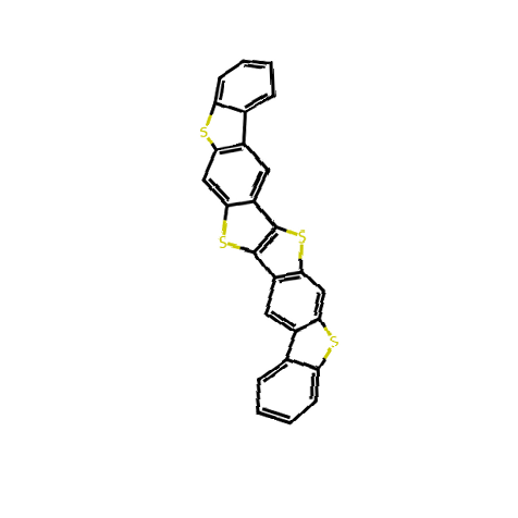 c1ccc2c(c1)sc1cc3sc4c5cc6c(cc5sc4c3cc12)sc1ccccc16